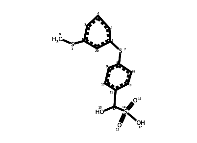 CSc1cccc(Sc2ccc(C(O)S(=O)(=O)O)cc2)c1